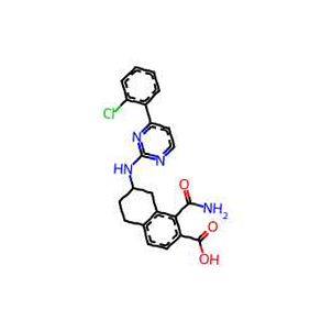 NC(=O)c1c(C(=O)O)ccc2c1CC(Nc1nccc(-c3ccccc3Cl)n1)CC2